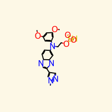 COc1cc(OC)cc(N(CCO[SH](=O)=O)c2ccc3ncc(-c4cnn(C)c4)nc3c2)c1